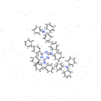 c1ccc(-c2ccc(-c3nc(-n4c5ccccc5c5ccc(-c6ccc7c(c6)c6ccccc6n7-c6ccccc6)cc54)nc(-n4c5ccccc5c5ccc(-c6ccc7c(c6)c6ccccc6n7-c6ccccc6)cc54)n3)c(-c3ccccc3)c2)cc1